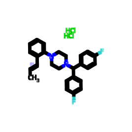 C/C=C/c1ccccc1N1CCN(C(c2ccc(F)cc2)c2ccc(F)cc2)CC1.Cl.Cl